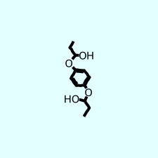 CCC(O)Oc1ccc(OC(O)CC)cc1